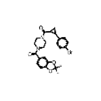 O=C(c1ccc2c(c1)OC(F)(F)O2)N1CCN(C(=O)C2CC2c2ccc(Br)cc2)CC1